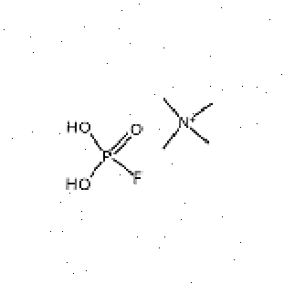 C[N+](C)(C)C.O=P(O)(O)F